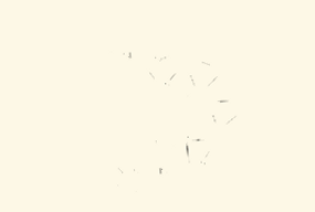 COc1nc(-c2cccc(-c3cccc(-c4cnc(CNC5CCC(F)(F)C5)c(OC)n4)c3Cl)c2Cl)cnc1CNC[C@@H]1CCC(=O)N1